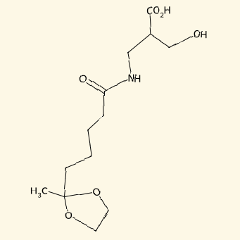 CC1(CCCCC(=O)NCC(CO)C(=O)O)OCCO1